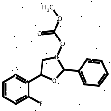 COC(=O)OB1CC(c2ccccc2F)OC1c1ccccc1